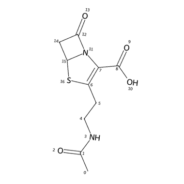 CC(=O)NCCC1=C(C(=O)O)N2C(=O)CC2S1